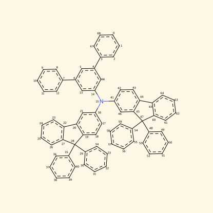 c1ccc(-c2cc(-c3ccccc3)cc(N(c3ccc4c(c3)-c3ccccc3C4(c3ccccc3)c3ccccc3)c3ccc4c(c3)C(c3ccccc3)(c3ccccc3)c3ccccc3-4)c2)cc1